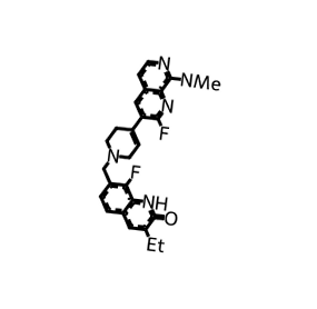 CCc1cc2ccc(CN3CC=C(c4cc5ccnc(NC)c5nc4F)CC3)c(F)c2[nH]c1=O